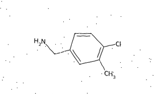 Cc1cc(CN)ccc1Cl